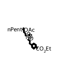 CCCCCC(C)(CCCN(CCCc1ccc(C(=O)OCC)cc1)S(C)(=O)=O)OC(C)=O